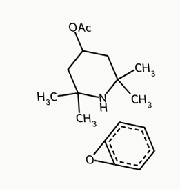 CC(=O)OC1CC(C)(C)NC(C)(C)C1.c1ccc2c(c1)O2